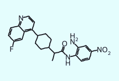 CC(C(=O)Nc1ccc([N+](=O)[O-])cc1N)C1CCC(c2ccnc3ccc(F)cc23)CC1